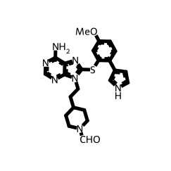 COc1ccc(-c2cc[nH]c2)c(Sc2nc3c(N)ncnc3n2CCC2CCN(C=O)CC2)c1